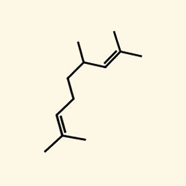 CC(C)=CCCC(C)C=C(C)C